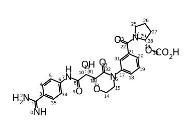 N=C(N)c1ccc(NC(=O)[C@H](O)[C@H]2OCCN(c3cccc(C(=O)N4CCC[C@@H]4OC(=O)O)c3)C2=O)cc1